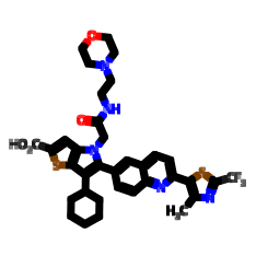 Cc1nc(C(F)(F)F)sc1-c1ccc2cc(-c3c(C4CCCCC4)c4sc(C(=O)O)cc4n3CC(=O)NCCN3CCOCC3)ccc2n1